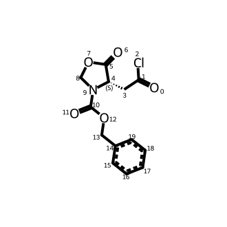 O=C(Cl)C[C@H]1C(=O)OCN1C(=O)OCc1ccccc1